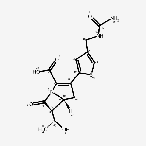 C[C@@H](O)[C@H]1C(=O)N2C(C(=O)O)=C(c3cc(CNC(N)=O)cs3)C[C@H]12